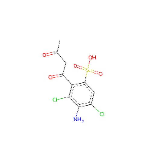 CC(=O)CC(=O)c1c(S(=O)(=O)O)cc(Cl)c(N)c1Cl